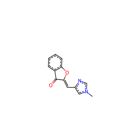 Cn1cnc(/C=C2\Oc3ccccc3C2=O)c1